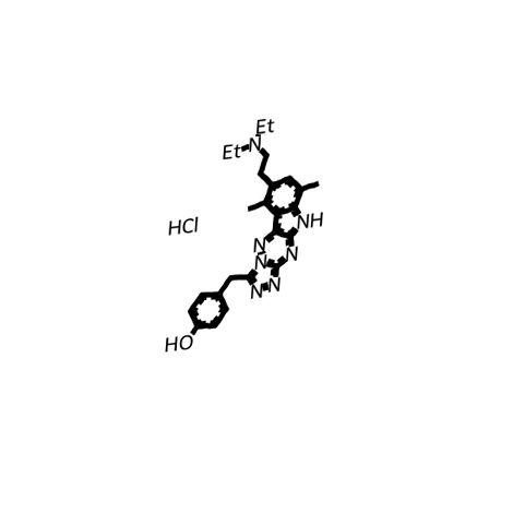 CCN(CC)CCc1cc(C)c2[nH]c3nc4nnc(Cc5ccc(O)cc5)n4nc3c2c1C.Cl